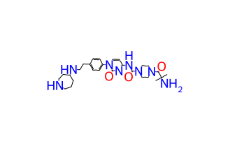 CC(C)(N)C(=O)N1CCN(C(=O)Nc2ccn(-c3ccc(CCNC4CCCNCC4)cc3)c(=O)n2)CC1